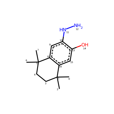 CC1(C)CCC(C)(C)c2cc(NN)c(O)cc21